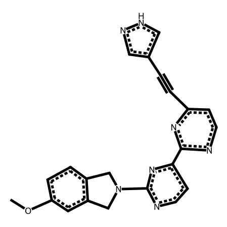 COc1ccc2c(c1)CN(c1nccc(-c3nccc(C#Cc4cn[nH]c4)n3)n1)C2